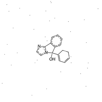 OC1(C2=CC=CCC2)c2ccccc2-c2nccn21